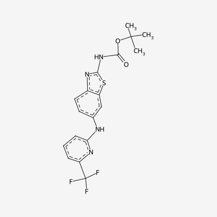 CC(C)(C)OC(=O)Nc1nc2ccc(Nc3cccc(C(F)(F)F)n3)cc2s1